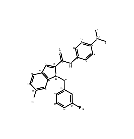 CN(C)c1ccc(NC(=O)c2cc3ccc(F)cc3n2Cc2cccc(F)c2)cn1